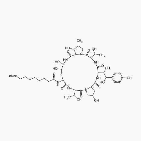 CCCCCCCCCCCCCCCCCC(=O)NC1CC(O)C(O)NC(=O)C2C(O)C(C)CN2C(=O)C(C(C)O)NC(=O)C(C(O)C(O)c2ccc(O)cc2)NC(=O)C2CC(O)CN2C(=O)C(C(C)O)NC1=O